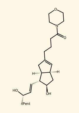 CCCCC[C@H](O)/C=C/[C@@H]1[C@H]2CC(CCCC(=O)N3CCOCC3)=C[C@H]2C[C@H]1O